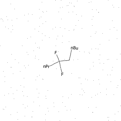 [CH2]CCCCC(F)(F)CCC